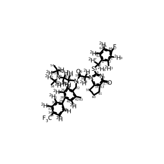 [2H]c1c([2H])c(C([2H])([2H])Sc2nc(=O)c3c(n2C([2H])([2H])C(=O)N(Cc2c([2H])c([2H])c(-c4c([2H])c([2H])c(C(F)(F)F)c([2H])c4[2H])c([2H])c2C)C([2H])([2H])C([2H])([2H])N(C([2H])([2H])C)C([2H])([2H])C)CCC3)c([2H])c([2H])c1F